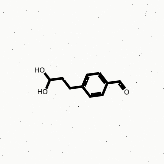 O=Cc1ccc(CCC(O)O)cc1